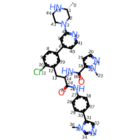 C[C@@H]1CN(c2cc(-c3ccc(Cl)c(CC(NC(=O)c4ccnn4C)C(=O)Nc4ccc(-c5cncn5C)cc4)c3)ccn2)CCN1